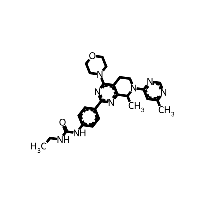 CCNC(=O)Nc1ccc(-c2nc3c(c(N4CCOCC4)n2)CCN(c2cc(C)ncn2)C3C)cc1